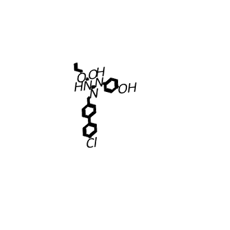 C=CCOC(=O)N/C(=N\Cc1ccc(-c2ccc(Cl)cc2)cc1)Nc1ccc(O)cc1